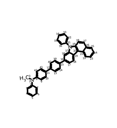 CN(c1ccccc1)c1ccc(-c2ccc(-c3ccc4c5c6ccccc6ccc5n(-c5ccccc5)c4c3)cc2)cc1